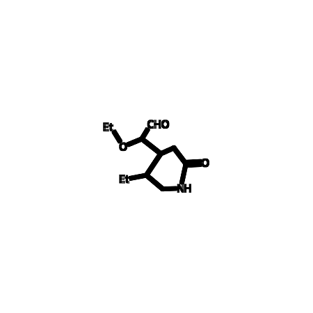 CCOC(C=O)C1CC(=O)NCC1CC